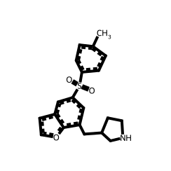 Cc1ccc(S(=O)(=O)c2cc(CC3CCNC3)c3occc3c2)cc1